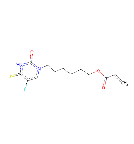 C=CC(=O)OCCCCCCn1cc(F)c(=S)[nH]c1=O